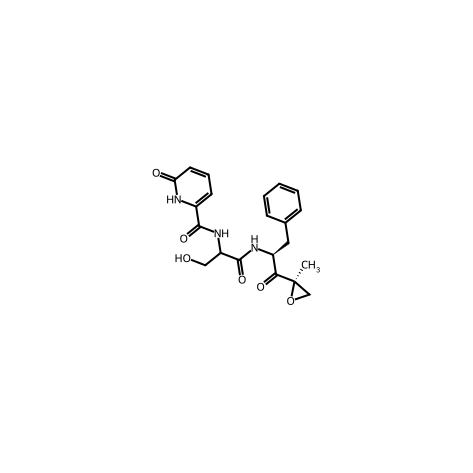 C[C@]1(C(=O)[C@H](Cc2ccccc2)NC(=O)C(CO)NC(=O)c2cccc(=O)[nH]2)CO1